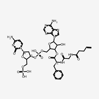 C=CCCC(=O)NCC(=O)N[C@@H](Cc1ccccc1)C(=O)OC1C(COP(=O)(O)O[C@@H]2C[C@H](n3ccc(N)nc3=O)OC2COP(=O)(O)O)OC(n2cnc3c(N)ncnc32)C1O